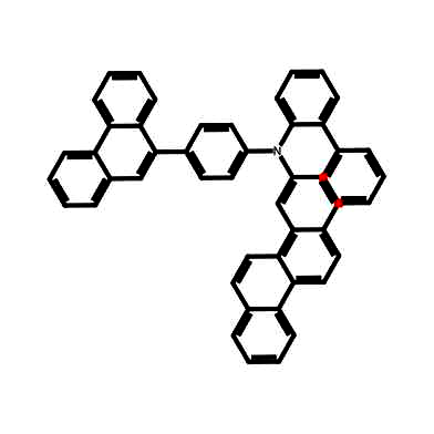 c1ccc(-c2ccccc2N(c2ccc(-c3cc4ccccc4c4ccccc34)cc2)c2ccc3ccc4c5ccccc5ccc4c3c2)cc1